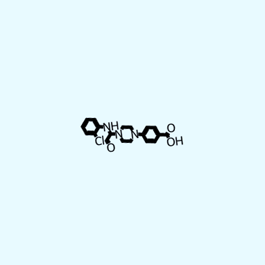 O=CC(Nc1ccccc1Cl)N1CCN(c2ccc(C(=O)O)cc2)CC1